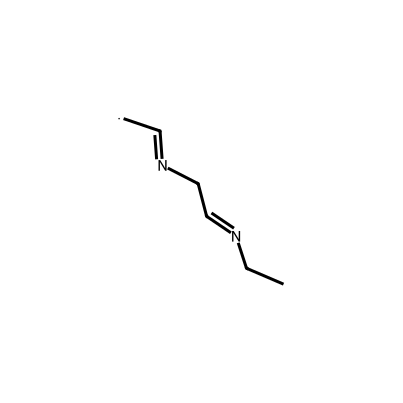 [CH2]C=NCC=NCC